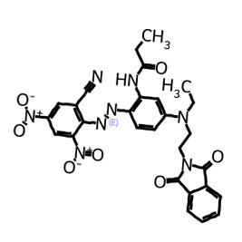 CCC(=O)Nc1cc(N(CC)CCN2C(=O)c3ccccc3C2=O)ccc1/N=N/c1c(C#N)cc([N+](=O)[O-])cc1[N+](=O)[O-]